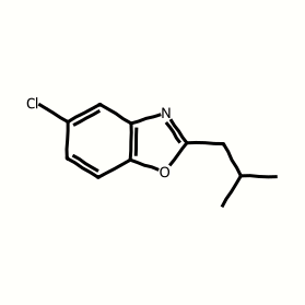 CC(C)Cc1nc2cc(Cl)ccc2o1